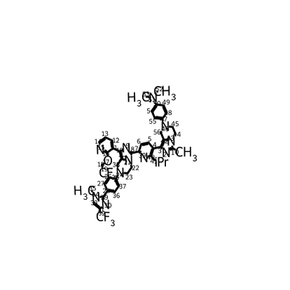 Cc1nc(-c2ccc(-c3nc(-c4cccnc4OCC(F)(F)F)c4n3CCN(c3ccc(-c5nc(C(F)(F)F)cn5C)cc3)C4)nc2C(C)C)c2n1CCN(c1ccc(N(C)C)cc1)C2